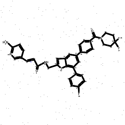 Nc1ccc(/C=C/C(=O)NCc2cc3cc(-c4ccc(C(=O)N5CCC(F)(F)CC5)cc4)cc(-c4ccc(F)cc4)c3s2)cn1